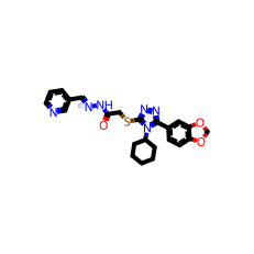 O=C(CSc1nnc(-c2ccc3c(c2)OCO3)n1C1CCCCC1)N/N=C/c1cccnc1